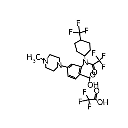 CN1CCN(c2ccc(C(=O)O)c(N(C(=O)C(F)(F)F)[C@H]3CC[C@H](C(F)(F)F)CC3)c2)CC1.O=C(O)C(F)(F)F